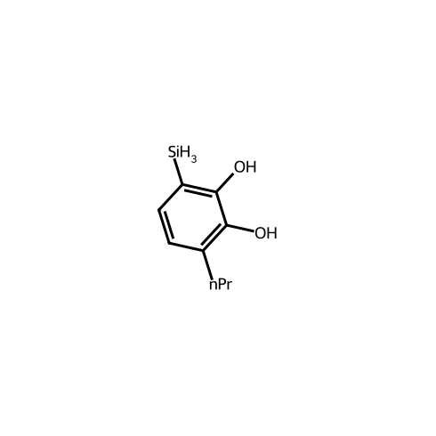 CCCc1ccc([SiH3])c(O)c1O